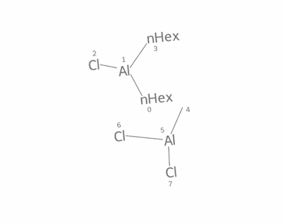 CCCCC[CH2][Al]([Cl])[CH2]CCCCC.[CH3][Al]([Cl])[Cl]